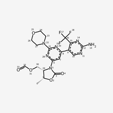 C[C@H]1OC(=O)N(c2cc(-c3cnc(N)nc3C(F)(F)F)nc(N3CCOCC3)n2)[C@H]1COC=O